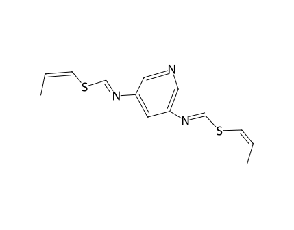 C/C=C\S/C=N/c1cncc(/N=C/S/C=C\C)c1